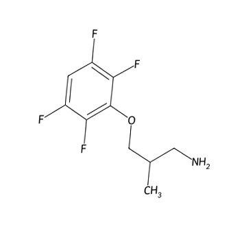 CC(CN)COc1c(F)c(F)cc(F)c1F